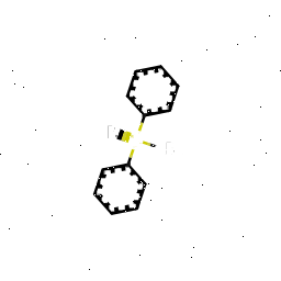 B#S(c1ccccc1)(c1ccccc1)C(C)(C)C